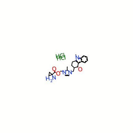 CC1N(COC(=O)C2(N)CC2)C=CN1CC1CCc2c(c3ccccc3n2C)C1=O.Cl.Cl